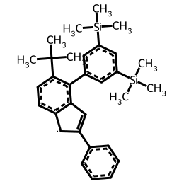 CC(C)(C)c1ccc2c(c1-c1cc([Si](C)(C)C)cc([Si](C)(C)C)c1)C=C(c1ccccc1)[CH]2